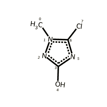 Cn1nc(O)nc1Cl